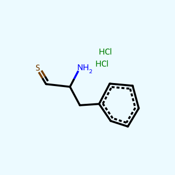 Cl.Cl.NC(C=S)Cc1ccccc1